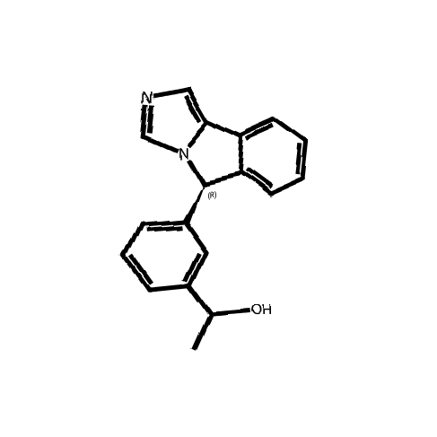 CC(O)c1cccc([C@@H]2c3ccccc3-c3cncn32)c1